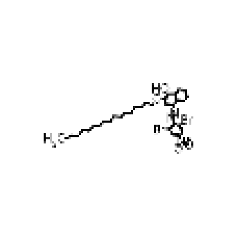 CCCCCCCCCCCCCCCCCCOc1cc(N=Nc2c(Br)cc([N+](=O)[O-])cc2Br)c2ccccc2c1O